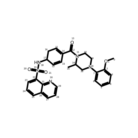 COc1ccccc1N1CCN(C(=O)C2=CCC(NS(=O)(=O)c3cccc4cccnc34)C=C2)C(C)C1